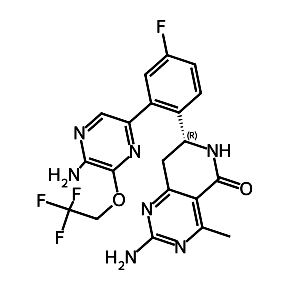 Cc1nc(N)nc2c1C(=O)N[C@@H](c1ccc(F)cc1-c1cnc(N)c(OCC(F)(F)F)n1)C2